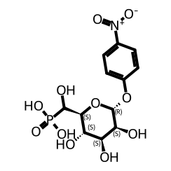 O=[N+]([O-])c1ccc(O[C@H]2O[C@H](C(O)P(=O)(O)O)[C@@H](O)[C@H](O)[C@@H]2O)cc1